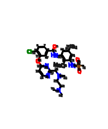 COc1c(NC(=O)c2ccc(Cl)c(Oc3ccnc(CN(C)CCN(C)C)n3)c2)cc(C(C)(C)C)cc1NS(C)(=O)=O